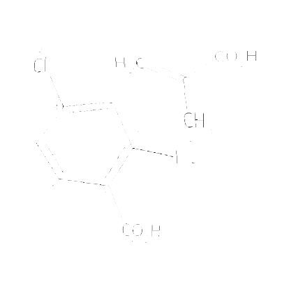 C=C(C)C(=O)O.O=C(O)c1ccc(Cl)cc1I